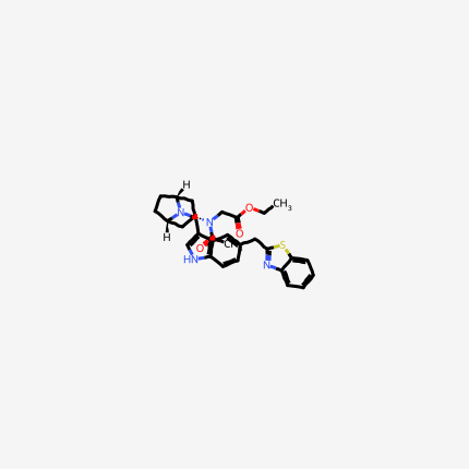 CCOC(=O)CN(C(C)=O)[C@H]1C[C@H]2CC[C@@H](C1)N2Cc1c[nH]c2ccc(Cc3nc4ccccc4s3)cc12